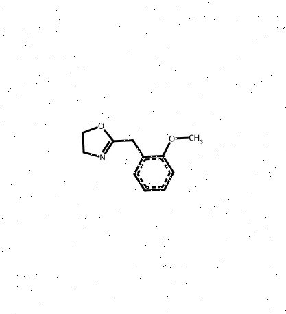 COc1ccccc1CC1=NCCO1